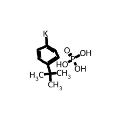 CC(C)(C)c1cc[c]([K])cc1.O=P(O)(O)O